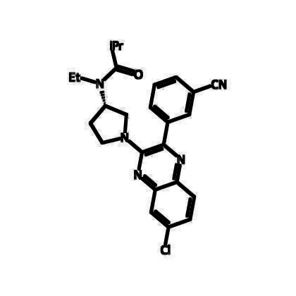 CCN(C(=O)C(C)C)[C@H]1CCN(c2nc3cc(Cl)ccc3nc2-c2cccc(C#N)c2)C1